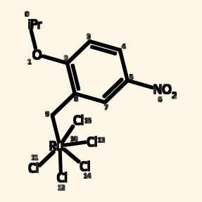 CC(C)Oc1ccc([N+](=O)[O-])cc1[CH2][Ru]([Cl])([Cl])([Cl])([Cl])[Cl]